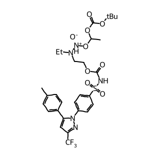 CCN(CCOC(=O)NS(=O)(=O)c1ccc(-n2nc(C(F)(F)F)cc2-c2ccc(C)cc2)cc1)[NH+]([O-])OC(C)OC(=O)OC(C)(C)C